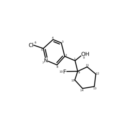 OC(c1ccc(Cl)nc1)C1(F)CCCCC1